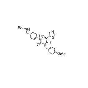 COc1ccc(C[C@H](NC(=O)c2cncs2)C(=O)Nc2ccc(SNC(C)(C)C)cc2)cc1